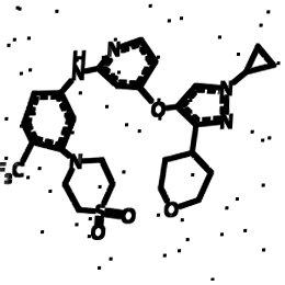 O=S1(=O)CCN(c2cc(Nc3cc(Oc4cn(C5CC5)nc4C4CCOCC4)ccn3)ccc2C(F)(F)F)CC1